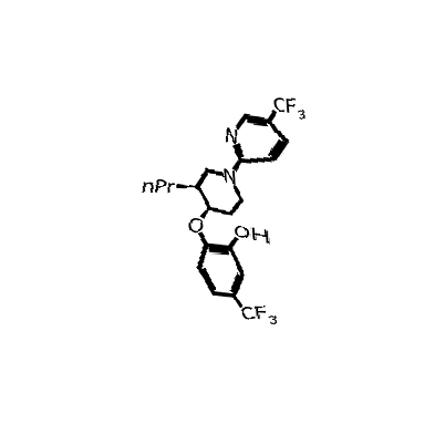 CCC[C@H]1CN(c2ccc(C(F)(F)F)cn2)CC[C@H]1Oc1ccc(C(F)(F)F)cc1O